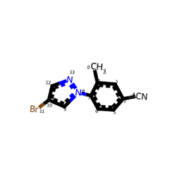 Cc1cc(C#N)ccc1-n1cc(Br)cn1